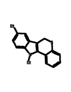 CCc1ccc2c(c1)c1c(n2CC)-c2ccccc2SC1